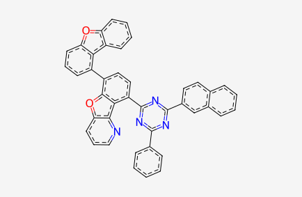 c1ccc(-c2nc(-c3ccc4ccccc4c3)nc(-c3ccc(-c4cccc5oc6ccccc6c45)c4oc5cccnc5c34)n2)cc1